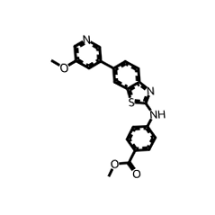 COC(=O)c1ccc(Nc2nc3ccc(-c4cncc(OC)c4)cc3s2)cc1